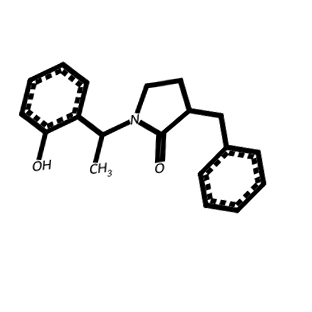 CC(c1ccccc1O)N1CCC(Cc2ccccc2)C1=O